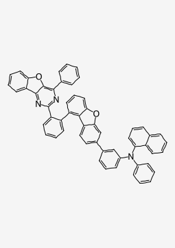 c1ccc(-c2nc(-c3ccccc3-c3cccc4oc5cc(-c6cccc(N(c7ccccc7)c7cccc8ccccc78)c6)ccc5c34)nc3c2oc2ccccc23)cc1